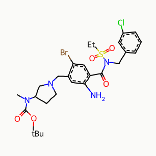 CCS(=O)(=O)N(Cc1cccc(Cl)c1)C(=O)c1cc(Br)c(CN2CCC(N(C)C(=O)OC(C)(C)C)C2)cc1N